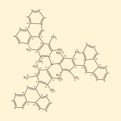 Cc1c(C)c(N(c2c(C)c(C)c(-c3cc4ccccc4c4ccccc34)c(C)c2C)c2c(C)c(C)c(-c3cc4ccccc4c4ccccc34)c(C)c2C)c(C)c(C)c1-c1cc2ccccc2c2ccccc12